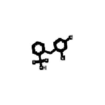 O=S(=O)(O)c1ccccc1Cc1ccc(Cl)cc1Cl